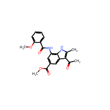 COC(=O)c1cc(NC(=O)c2ccccc2OC)c2[nH]c(C)c(C(C)=O)c2c1